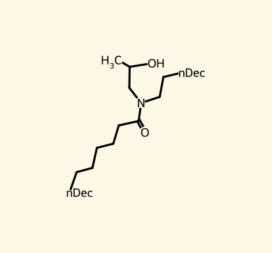 CCCCCCCCCCCCCCCC(=O)N(CCCCCCCCCCCC)CC(C)O